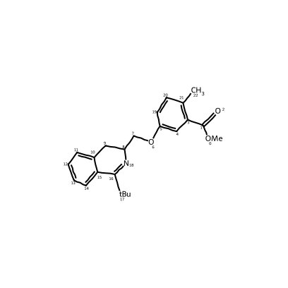 COC(=O)c1cc(OCC2Cc3ccccc3C(C(C)(C)C)=N2)ccc1C